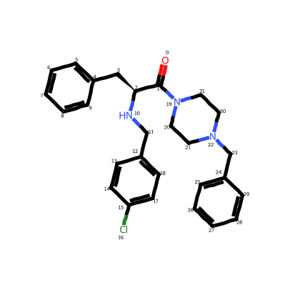 O=C([C@H](Cc1ccccc1)NCc1ccc(Cl)cc1)N1CCN(Cc2ccccc2)CC1